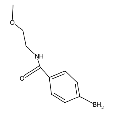 Bc1ccc(C(=O)NCCOC)cc1